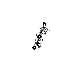 CCCn1c(C)c(C(=O)Nc2ccc(OC(=N)/C=C(\NC)NC(=O)N3CCCC3)c(F)c2)c(=O)n1-c1ccccc1